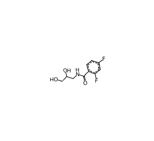 O=C(NCC(O)CO)c1ccc(F)cc1F